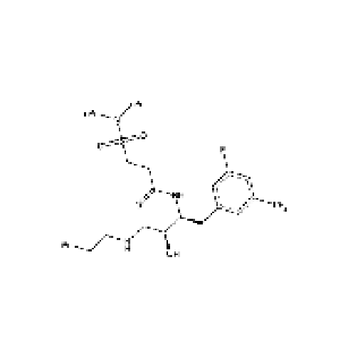 CCCN(CCC)S(=O)(=O)CCC(=O)N[C@@H](Cc1cc(F)cc(C(F)(F)F)c1)[C@@H](O)CNCCC(C)C